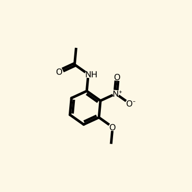 COc1cccc(NC(C)=O)c1[N+](=O)[O-]